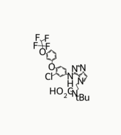 CC(C)(C)N(CCn1ccc2ncnc(Nc3ccc(Oc4cccc(OC(F)(F)C(F)F)c4)c(Cl)c3)c21)C(=O)O